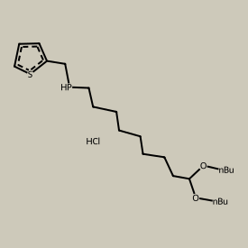 CCCCOC(CCCCCCCCPCc1cccs1)OCCCC.Cl